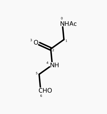 CC(=O)NCC(=O)NCC=O